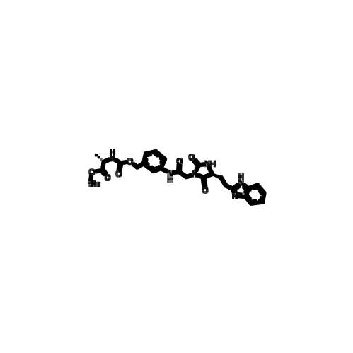 C[C@H](NC(=O)OCc1cccc(NC(=O)CN2C(=O)N[C@@H](CCc3nc4ccccc4[nH]3)C2=O)c1)C(=O)OC(C)(C)C